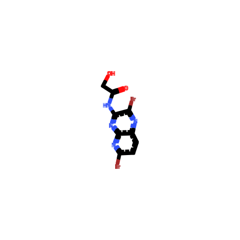 O=C(CO)Nc1nc2nc(Br)ccc2nc1Br